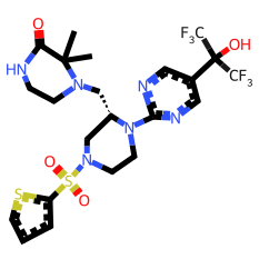 CC1(C)C(=O)NCCN1C[C@H]1CN(S(=O)(=O)c2cccs2)CCN1c1ncc(C(O)(C(F)(F)F)C(F)(F)F)cn1